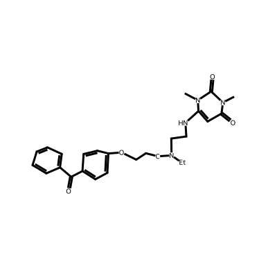 CCN(CCCOc1ccc(C(=O)c2ccccc2)cc1)CCNc1cc(=O)n(C)c(=O)n1C